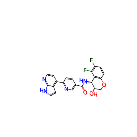 O=C(N[C@H]1c2c(ccc(F)c2F)OC[C@H]1O)c1ccc(-c2ccnc3[nH]ccc23)nc1